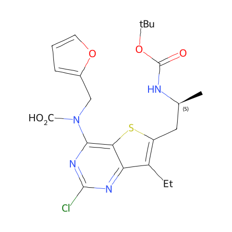 CCc1c(C[C@H](C)NC(=O)OC(C)(C)C)sc2c(N(Cc3ccco3)C(=O)O)nc(Cl)nc12